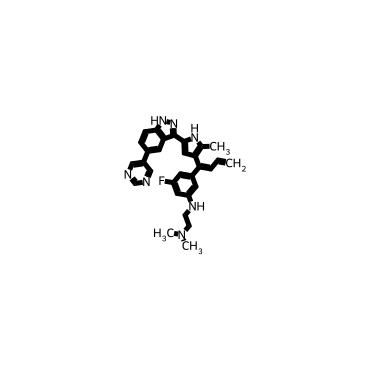 C=C/C=C(/c1cc(F)cc(NCCN(C)C)c1)c1cc(-c2n[nH]c3ccc(-c4cncnc4)cc23)[nH]c1C